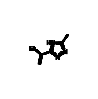 C=C(CC)c1nnc(C)[nH]1